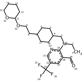 CCN(CC1CCC(CCOC2CCCCO2)CC1)c1ncc(C(F)(F)F)cc1C=O